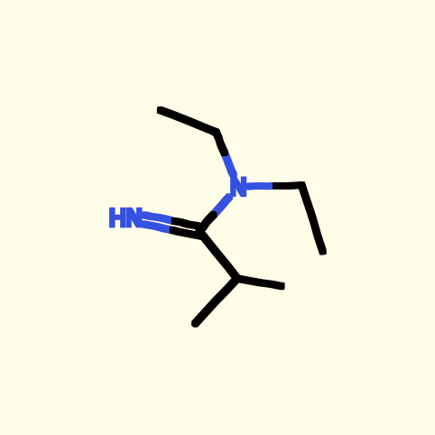 CCN(CC)C(=N)C(C)C